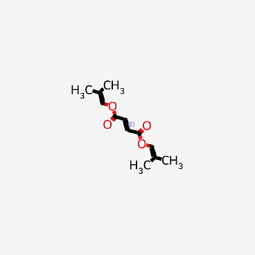 CC(C)=COC(=O)/C=C/C(=O)OC=C(C)C